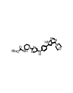 CC(C)(C)OC(=O)N[C@@H]1CCCN(c2ncc(Nc3ccc(-c4cc5c(N6CCOCC6)ncnc5[nH]4)cc3)cn2)C1